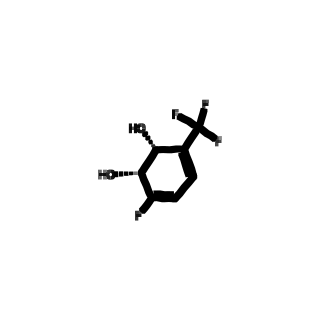 O[C@@H]1C(C(F)(F)F)=CC=C(F)[C@@H]1O